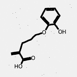 C=C(CCCOc1ccccc1O)C(=O)O